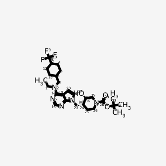 CCN(CC1CCC(C(F)(F)F)CC1)c1ncnc2c1ccn2C[C@H]1CCN(C(=O)OC(C)(C)C)C[C@@H]1O